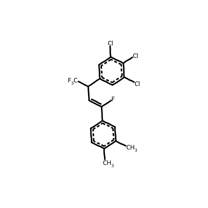 Cc1ccc(/C(F)=C/C(c2cc(Cl)c(Cl)c(Cl)c2)C(F)(F)F)cc1C